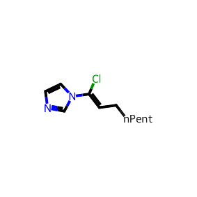 CCCCCCC=C(Cl)n1ccnc1